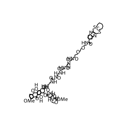 COc1cccc2c1C(=O)c1c(O)c3c(c(O)c1C2=O)C[C@@](O)(C(=O)NCCNC(=O)CNC(=O)CNC(=O)CNC(=O)CNC(=O)CNC(=O)CCOCCOCCNC(=O)c1ccc2nc4c(nc2c1)CSC1CCCCCC(C1)SC4)C[C@@H]3O[C@H]1C[C@H]2[C@H](O[C@@H]3[C@@H](OC)OCCN32)[C@H](C)O1